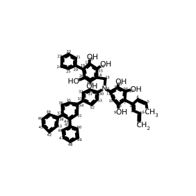 C=C/C=C(\C=C/C)c1c(O)cc(N(Cc2c(O)c(O)c(-c3ccccc3)c(O)c2O)c2ccc(-c3ccc(-c4ccccc4)c(-c4ccccc4)c3)cc2)c(O)c1O